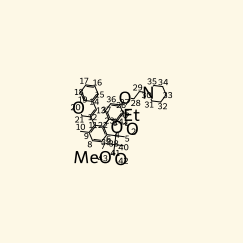 CCC(=O)OC(C)(c1ccc(C)c(C2=Cc3ccccc3OC2)c1-c1ccc(OCCN2CCCCC2)cc1)C(C)(C)C(=O)OC